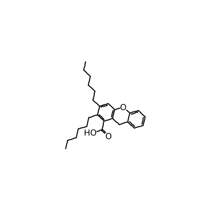 CCCCCCc1cc2c(c(C(=O)O)c1CCCCCC)Cc1ccccc1O2